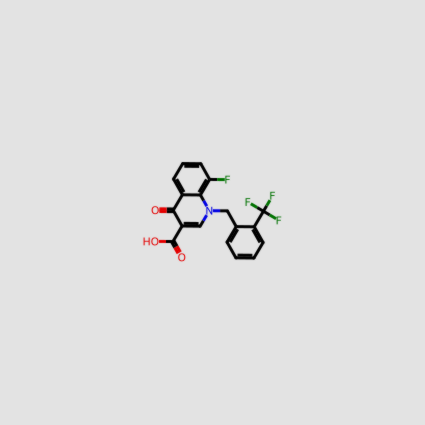 O=C(O)c1cn(Cc2ccccc2C(F)(F)F)c2c(F)cccc2c1=O